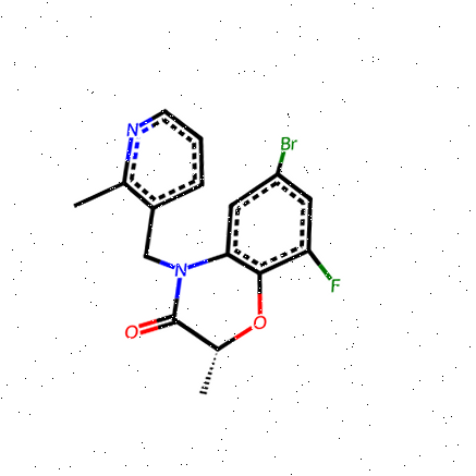 Cc1ncccc1CN1C(=O)[C@@H](C)Oc2c(F)cc(Br)cc21